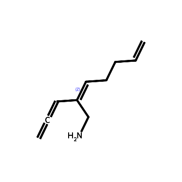 C=C=C/C(=C/CCC=C)CN